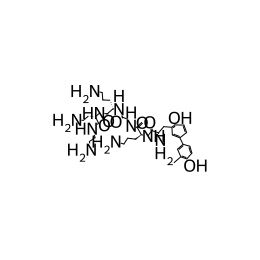 Cc1cc(-c2ccc(O)c(C[C@H](N)C(=O)N[C@@H](CCCN)C(=O)NCC(=O)N[C@@H](CCCN)C(=O)N[C@@H](CCN)C(=O)NCCN)c2)ccc1O